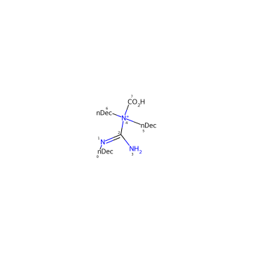 CCCCCCCCCC/N=C(\N)[N+](CCCCCCCCCC)(CCCCCCCCCC)C(=O)O